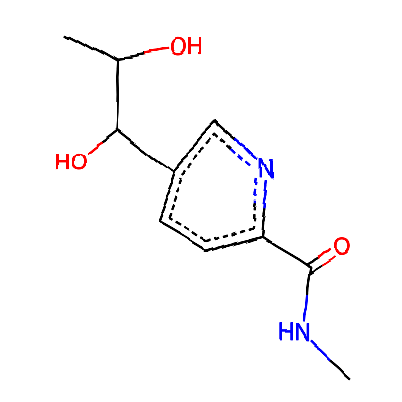 CNC(=O)c1ccc(C(O)C(C)O)cn1